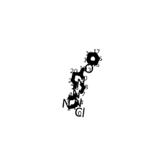 Clc1cncc(N2CCN3CC(COc4ccccc4)CCC3C2)n1